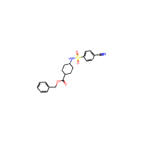 N#Cc1ccc(S(=O)(=O)NC2CCC(C(=O)OCc3ccccc3)CC2)cc1